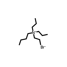 CCCC[N+](CCC)(CCC)CCC.[Br-]